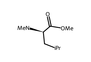 CN[C@H](CC(C)C)C(=O)OC